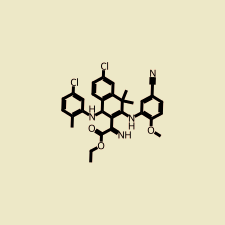 CCOC(=O)C(=N)C1=C(Nc2cc(C#N)ccc2OC)C(C)(C)c2cc(Cl)ccc2C1Nc1cc(Cl)ccc1C